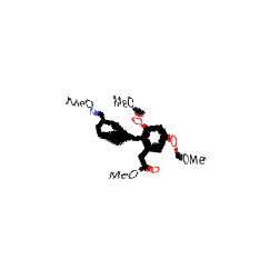 COCOc1cc(CC(=O)OC)c(-c2cccc(/C=N/OC)c2)c(OCOC)c1